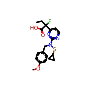 CCC(F)(C(=O)O)c1ccnc(N(Cc2ccc(OC)cc2)SC2CC2)n1